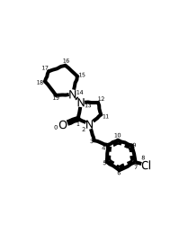 O=C1N(Cc2ccc(Cl)cc2)CCN1N1CCCCC1